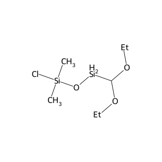 CCOC(OCC)[SiH2]O[Si](C)(C)Cl